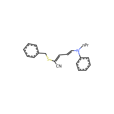 CCCN(C=CC=C(C#N)SCc1ccccc1)c1ccccc1